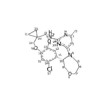 Cc1cc(N2CCCOC[C@@H]2c2cc3c(cc2Cl)OCC2(CC2)CO3)nc(N)n1